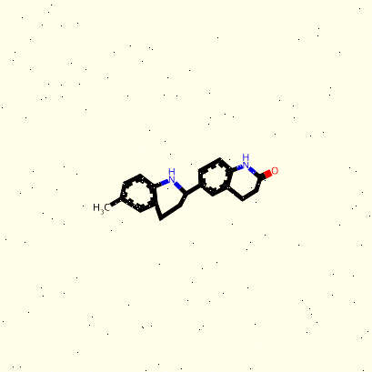 Cc1ccc2c(c1)CCC(c1ccc3c(c1)CCC(=O)N3)N2